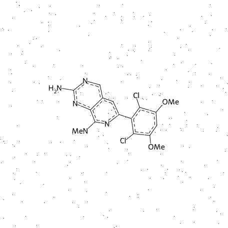 CNc1nc(-c2c(Cl)c(OC)cc(OC)c2Cl)cc2cnc(N)nc12